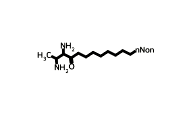 CCCCCCCCCCCCCCCCCC(=O)C(N)C(C)N